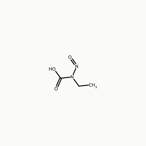 CCN(N=O)C(=O)O